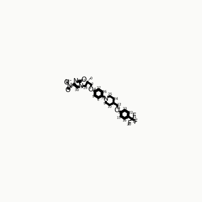 C[C@]1(COc2ccc(N3CCC(COc4ccc(C(F)(F)F)cc4)CC3)cc2)Cn2cc([N+](=O)[O-])nc2O1